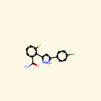 NC(=O)c1cccc(F)c1-c1cc(-c2ccc(Cl)cc2)[nH]n1